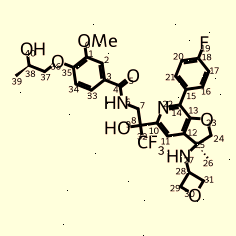 COc1cc(C(=O)NCC(O)(c2cc3c(c(-c4ccc(F)cc4)n2)OC[C@@]3(C)NC2COC2)C(F)(F)F)ccc1OC[C@@H](C)O